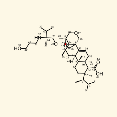 CC(C)[C@@H](C)[C@@]1(C)CC[C@]2(C)[C@H]3CC[C@@H]4[C@@]5(COC[C@]4(C)[C@@H](OC[C@](C)(NCCCO)C(C)C)[C@H](C)C5)C3=CC[C@@]2(C)[C@@H]1C(=O)O